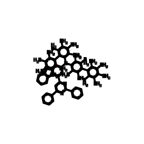 Bc1c(B)c(B)c(-c2c(B)c(B)c(N(c3cc(-c4cc(-c5ccccc5)nc(-c5ccccc5)n4)c4c(c3)oc3ccccc34)c3c(B)c(B)c(B)c(B)c3-c3c(B)c(B)c(B)c(B)c3B)c(B)c2B)c(B)c1B